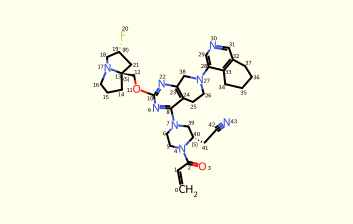 C=CC(=O)N1CCN(c2nc(OC[C@@]34CCCN3C[C@H](F)C4)nc3c2CCN(c2cncc4c2CCCC4)C3)C[C@@H]1CC#N